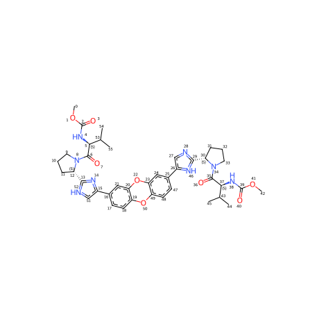 COC(=O)N[C@H](C(=O)N1CCC[C@H]1c1nc(-c2ccc3c(c2)Oc2cc(-c4cnc([C@@H]5CCCN5C(=O)[C@@H](NC(=O)OC)C(C)C)[nH]4)ccc2O3)c[nH]1)C(C)C